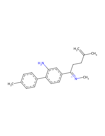 C=C(C)CC/C(=N\C)c1ccc(-c2ccc(C)cc2)c(N)c1